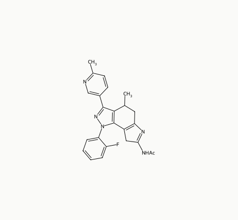 CC(=O)NC1=NC2=C(C1)c1c(c(-c3ccc(C)nc3)nn1-c1ccccc1F)C(C)C2